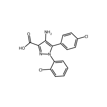 Nc1c(C(=O)O)nn(-c2ccccc2Cl)c1-c1ccc(Cl)cc1